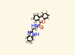 O=C(COc1ccccc1-c1ccccc1)NCCc1nc2ccccc2[nH]1